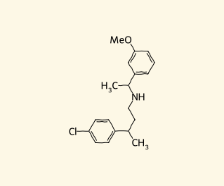 COc1cccc(C(C)NCCC(C)c2ccc(Cl)cc2)c1